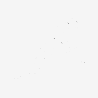 CCCCCCCOc1ccc(C(=O)Oc2ccc(C[C@H](NC(=O)c3ccc(OC)cc3)C(=O)Nc3ncn[nH]3)cc2)cc1